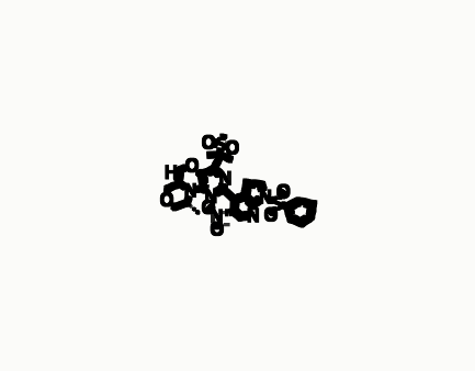 C[C@@H]1COC[C@H]2COc3c(nc(-c4c([N+](=O)[O-])cnc5c4ccn5S(=O)(=O)c4ccccc4)nc3C(C)(C)S(C)(=O)=O)N21